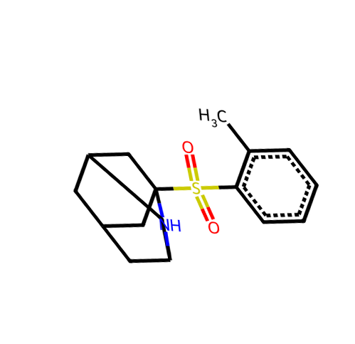 Cc1ccccc1S(=O)(=O)C12CC3CC(CC(C3)N1)C2